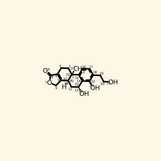 C[C@]12CCC3=C(COC3=O)[C@@H]1C[C@H](O)c1c2ccc(CCO)c1O